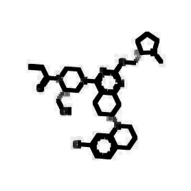 C=CC(=O)N1CCN(c2nc(OC[C@@H]3CCCN3C)nc3c2CC[C@@H](N2CCCc4ccc(Cl)cc42)C3)C[C@@H]1CC#N